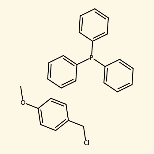 COc1ccc(CCl)cc1.c1ccc(P(c2ccccc2)c2ccccc2)cc1